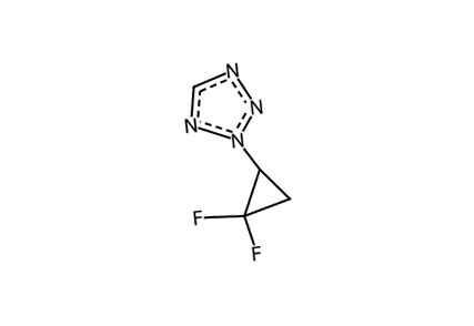 FC1(F)CC1n1ncnn1